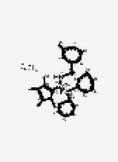 CC1=C(C)C(C)[C]([Zr+2]([NH]C(=O)c2cccc(C)c2)[SiH](c2ccccc2)c2ccccc2)=C1C.[Cl-].[Cl-]